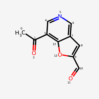 CC(=O)c1cncc2cc(C=O)oc12